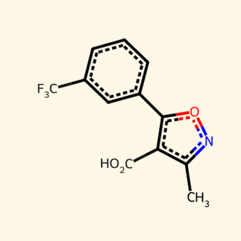 Cc1noc(-c2cccc(C(F)(F)F)c2)c1C(=O)O